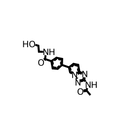 CC(=O)Nc1nc2ccc(-c3ccc(C(=O)NCCO)cc3)cn2n1